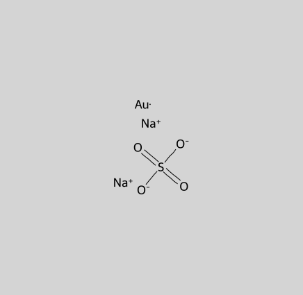 O=S(=O)([O-])[O-].[Au].[Na+].[Na+]